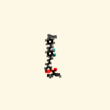 C=C(C)C(=O)OCC(CO)CCCCc1ccc(/C=C/c2ccc(CCCCC)cc2)c(F)c1F